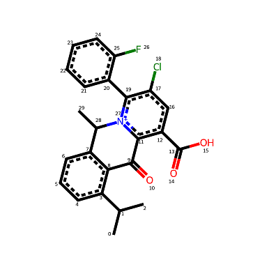 CC(C)c1cccc2c1C(=O)c1c(C(=O)O)cc(Cl)c(-c3ccccc3F)[n+]1C2C